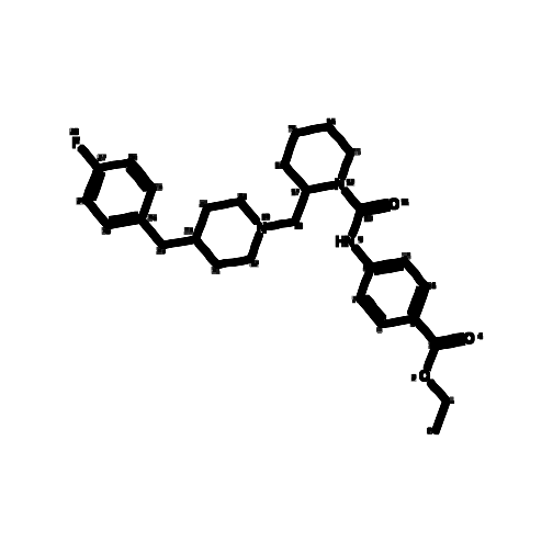 CCOC(=O)c1ccc(NC(=O)N2CCCCC2CN2CCC(Cc3ccc(F)cc3)CC2)cc1